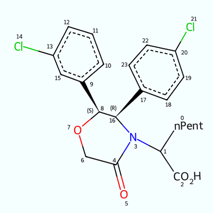 CCCCCC(C(=O)O)N1C(=O)CO[C@@H](c2cccc(Cl)c2)[C@H]1c1ccc(Cl)cc1